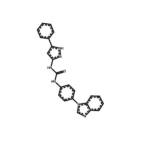 O=C(Nc1ccc(-n2cnc3ccccc32)cc1)Nc1cc(-c2ccccc2)[nH]n1